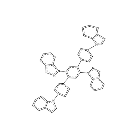 c1ccc2c(c1)ccn2-c1ccc(-c2cc(-n3ncc4ccccc43)c(-c3ccc(-n4ccc5ccccc54)cc3)cc2-n2ncc3ccccc32)cc1